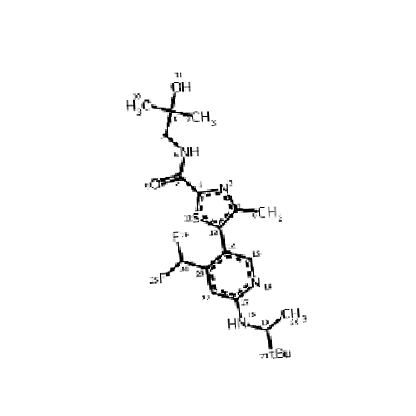 Cc1nc(C(=O)NCC(C)(C)O)sc1-c1cnc(NC(C)C(C)(C)C)cc1C(F)F